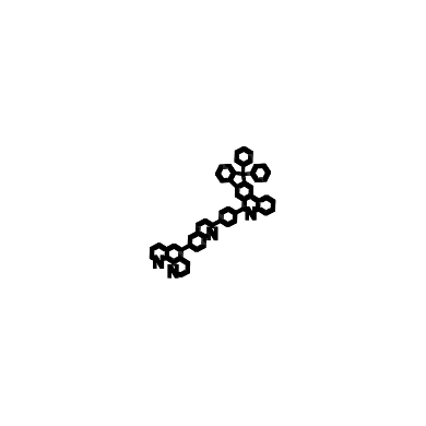 c1ccc(C2(c3ccccc3)c3ccccc3-c3cc4c(-c5ccc(-c6ccc7cc(-c8cc9cccnc9c9ncccc89)ccc7n6)cc5)nc5ccccc5c4cc32)cc1